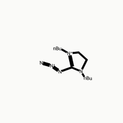 CCCCN1CC[N+](CCCC)=C1N=[N+]=[N-]